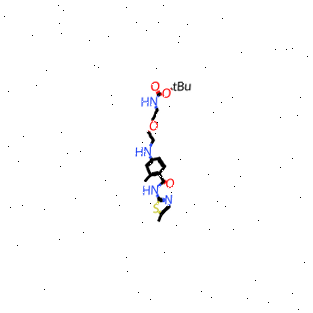 Cc1cnc(NC(=O)c2ccc(NCCOCCNC(=O)OC(C)(C)C)cc2C)s1